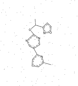 [CH2]c1cccc(-c2cnc(OC(C)c3ccon3)nc2)n1